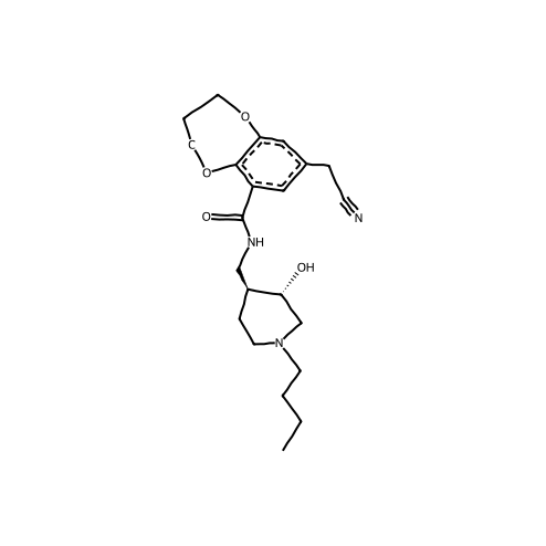 CCCCN1CC[C@@H](CNC(=O)c2cc(CC#N)cc3c2OCCCO3)[C@H](O)C1